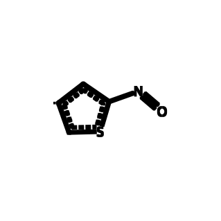 O=Nc1c[c]cs1